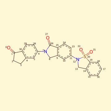 O=C1CCc2cc(N3Cc4cc(N5Cc6ccccc6S5(=O)=O)ccc4C3=O)ccc21